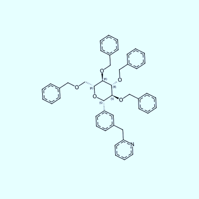 c1ccc(COC[C@H]2O[C@@H](c3cccc(Cc4ccccn4)c3)[C@H](OCc3ccccc3)[C@@H](OCc3ccccc3)[C@@H]2OCc2ccccc2)cc1